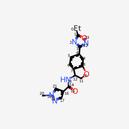 CCc1nc(-c2ccc3c(c2)OCC3NC(=O)c2cnn(C)c2)no1